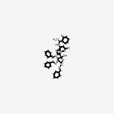 C[C@H](Nc1cc(Cl)nn2c(C3(O)O[C@H](COCc4ccccc4)[C@@H](OCc4ccccc4)[C@H]3OCc3ccccc3)cnc12)c1ccccc1F